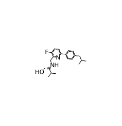 CC(C)Cc1ccc(-c2ccc(F)c(CN[C@@H](CO)C(C)C)n2)cc1